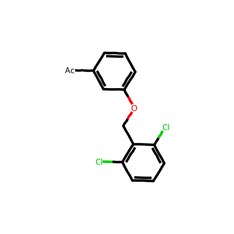 CC(=O)c1cccc(OCc2c(Cl)cccc2Cl)c1